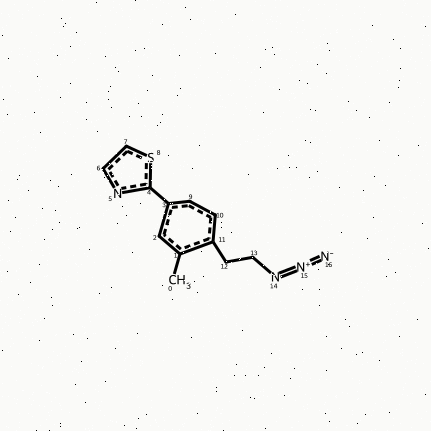 Cc1cc(-c2nccs2)ccc1CCN=[N+]=[N-]